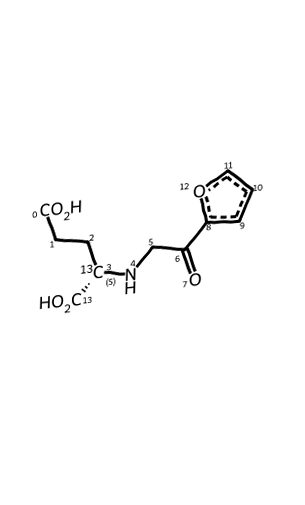 O=C(O)CC[13C@H](NCC(=O)c1ccco1)C(=O)O